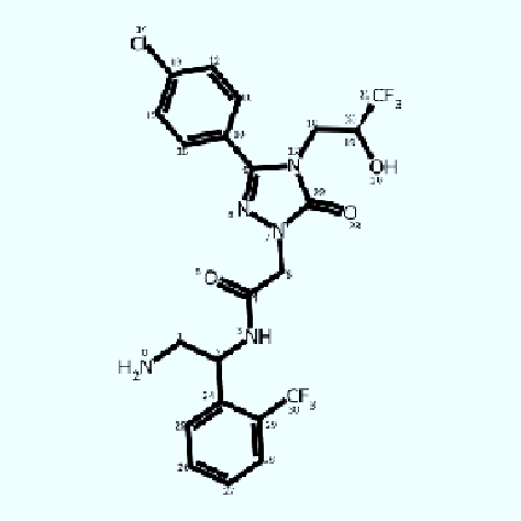 NCC(NC(=O)Cn1nc(-c2ccc(Cl)cc2)n(C[C@H](O)C(F)(F)F)c1=O)c1ccccc1C(F)(F)F